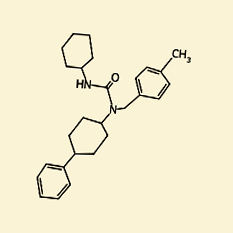 Cc1ccc(CN(C(=O)NC2CCCCC2)C2CCC(c3ccccc3)CC2)cc1